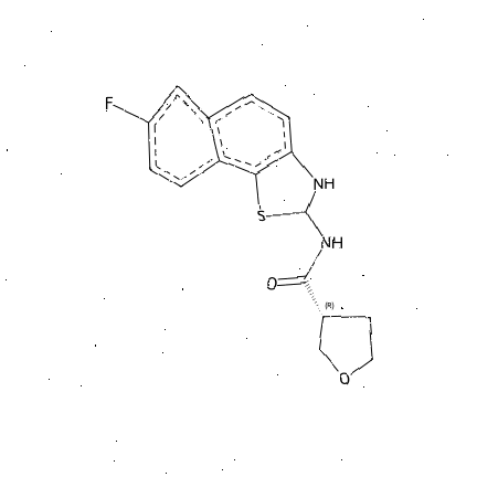 O=C(NC1Nc2ccc3cc(F)ccc3c2S1)[C@@H]1CCOC1